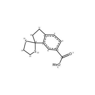 COC(=O)c1ccc2c(c1)C1(CC2)SCCS1